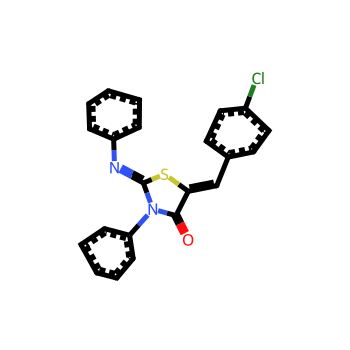 O=C1C(=Cc2ccc(Cl)cc2)SC(=Nc2ccccc2)N1c1ccccc1